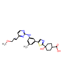 COC/C=C/c1ccnc(Nc2cc(C)cc(-c3cnc(C4(O)CCC(C(=O)O)CC4)s3)c2)n1